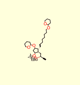 C#C[C@@H](Br)C[C@@H]1[C@@H](/C=C/CCCCCCOC2CCCCO2)[C@H](OC2CCCCO2)C[C@@H]1O[Si](C)(C)C(C)(C)C